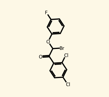 O=C(c1ccc(Cl)cc1Cl)C(Br)Oc1cccc(F)c1